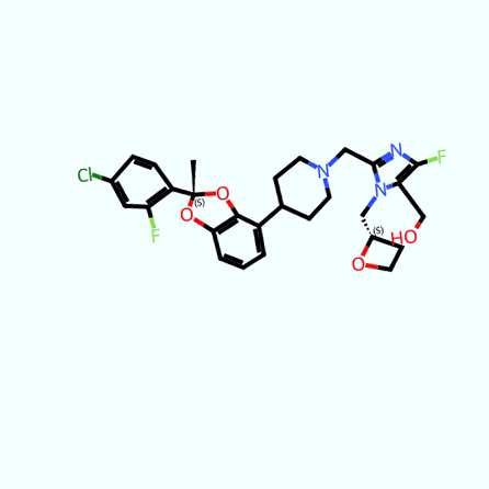 C[C@]1(c2ccc(Cl)cc2F)Oc2cccc(C3CCN(Cc4nc(F)c(CO)n4C[C@@H]4CCO4)CC3)c2O1